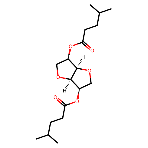 CC(C)CCC(=O)O[C@@H]1CO[C@H]2[C@@H]1OC[C@H]2OC(=O)CCC(C)C